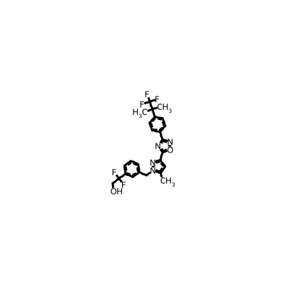 Cc1cc(-c2nc(-c3ccc(C(C)(C)C(F)(F)F)cc3)no2)nn1Cc1cccc(C(F)(F)CO)c1